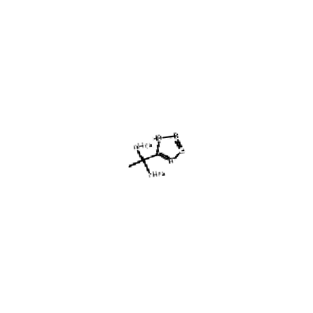 CCCCCCC(C)(CCCCCC)C1=BB=BB1